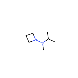 CC(C)N(C)N1CCC1